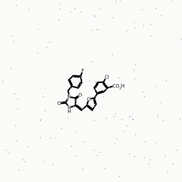 O=C(O)c1cc(-c2ccc(C=C3NC(=O)N(Cc4ccc(F)cc4)C3=O)o2)ccc1Cl